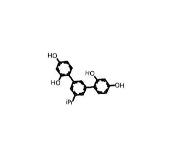 CC(C)c1cc(-c2ccc(O)cc2O)cc(-c2ccc(O)cc2O)c1